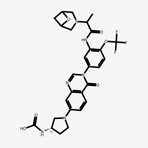 CC(C(=O)Nc1cc(-n2cnc3cc(N4CC[C@H](NC(=O)O)C4)ccc3c2=O)ccc1OC(F)(F)F)N1CC2CC(C1)O2